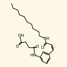 CCCCCCCCCCNC(=O)/C=C\c1cccc(NC(=O)CCC(=O)O)c1